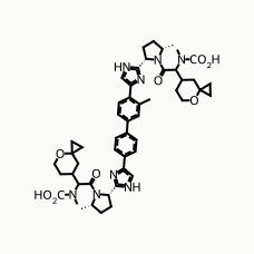 Cc1cc(-c2ccc(-c3c[nH]c([C@@H]4CC[C@H](C)N4C(=O)C(C4CCOC5(CC5)C4)N(C)C(=O)O)n3)cc2)ccc1-c1c[nH]c([C@@H]2CC[C@H](C)N2C(=O)C(C2CCOC3(CC3)C2)N(C)C(=O)O)n1